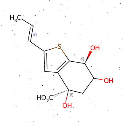 C/C=C/c1cc2c(s1)[C@@H](O)C(O)C[C@]2(O)C(=O)O